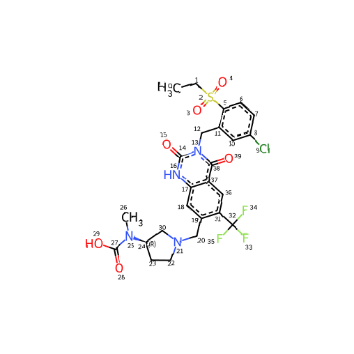 CCS(=O)(=O)c1ccc(Cl)cc1Cn1c(=O)[nH]c2cc(CN3CC[C@@H](N(C)C(=O)O)C3)c(C(F)(F)F)cc2c1=O